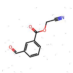 N#CCOC(=O)c1cccc(C=O)c1